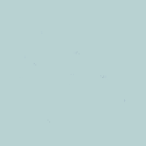 CCc1cccc(CNCC(OC(=O)c2cc(C(=O)N(CC)CC)cc(-c3ncco3)c2)C(N)Cc2cc(F)cc(F)c2)c1